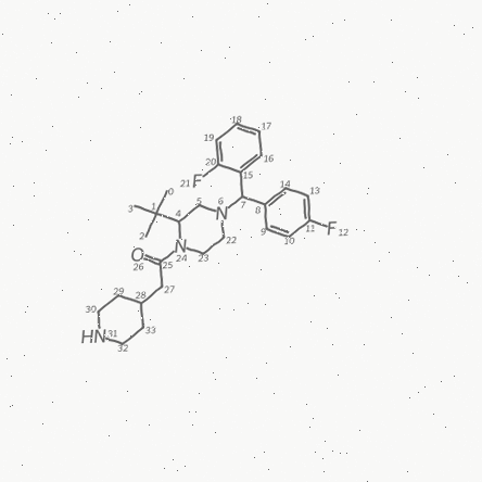 CC(C)(C)C1CN(C(c2ccc(F)cc2)c2ccccc2F)CCN1C(=O)CC1CCNCC1